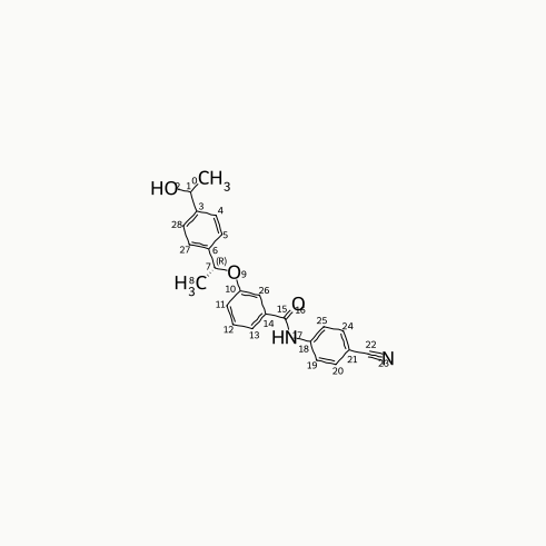 CC(O)c1ccc([C@@H](C)Oc2cccc(C(=O)Nc3ccc(C#N)cc3)c2)cc1